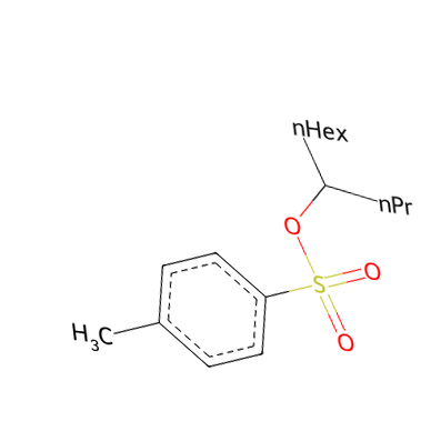 CCCCCCC(CCC)OS(=O)(=O)c1ccc(C)cc1